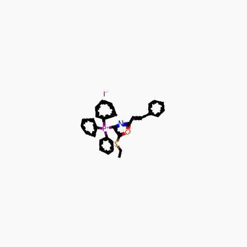 CCSc1oc(C=Cc2ccccc2)nc1[P+](c1ccccc1)(c1ccccc1)c1ccccc1.[I-]